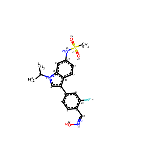 CC(C)n1cc(-c2ccc(/C=N\O)c(F)c2)c2ccc(NS(C)(=O)=O)cc21